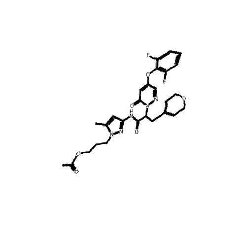 CC(=O)OCCCn1nc(NC(=O)C(CC2CCOCC2)n2ncc(Oc3c(F)cccc3F)cc2=O)cc1C